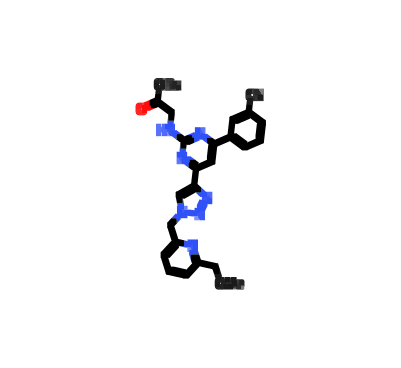 COCc1cccc(Cn2cc(-c3cc(-c4cccc(C#N)c4)nc(NCC(=O)OCC(C)C)n3)nn2)n1